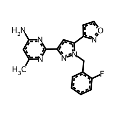 Cc1cc(N)nc(-c2cc(-c3ccon3)n(Cc3ccccc3F)n2)n1